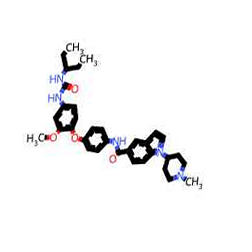 CCC(CC)NC(=O)Nc1ccc(Oc2ccc(NC(=O)c3ccc4c(ccn4C4CCN(C)CC4)c3)cc2)c(OC)c1